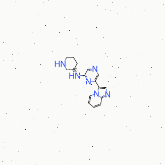 c1ccn2c(-c3cncc(N[C@H]4CCCNC4)n3)cnc2c1